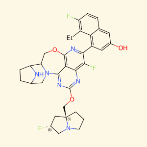 CCc1c(F)ccc2cc(O)cc(-c3nc4c5c(nc(OC[C@@]67CCCN6C[C@H](F)C7)nc5c3F)N3CC5CCC(N5)C3CO4)c12